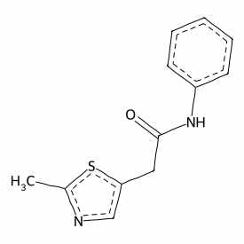 Cc1ncc(CC(=O)Nc2ccccc2)s1